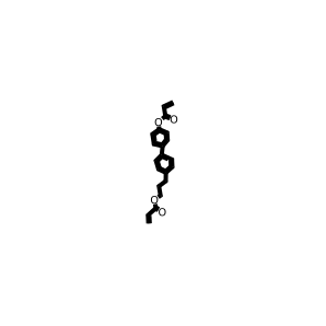 C=CC(=O)OCCCc1ccc(-c2ccc(OC(=O)C=C)cc2)cc1